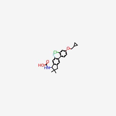 CC1(C)Cc2cc(-c3ccc(OCC4CC4)cc3Cl)c(F)cc2[C@@H]1NC(=O)O